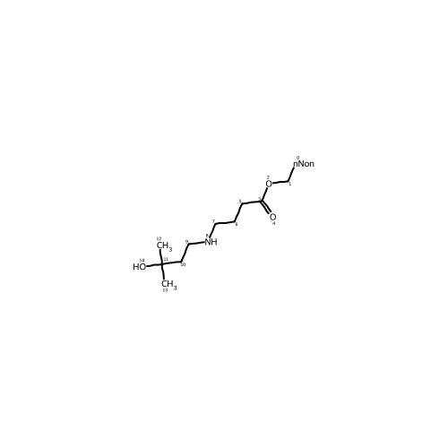 CCCCCCCCCCOC(=O)CCCNCCC(C)(C)O